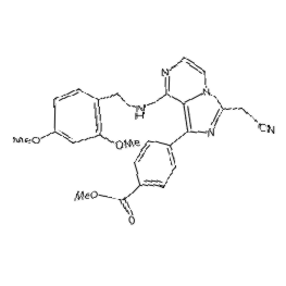 COC(=O)c1ccc(-c2nc(CC#N)n3ccnc(NCc4ccc(OC)cc4OC)c23)cc1